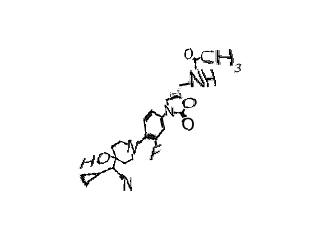 CC(=O)NC[C@H]1CN(c2ccc(N3CCC(O)(C(C#N)C4CC4)CC3)c(F)c2)C(=O)O1